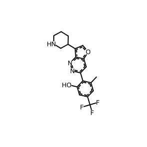 Cc1cc(C(F)(F)F)cc(O)c1-c1cc2occ(C3CCCNC3)c2nn1